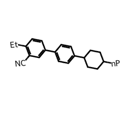 CCCC1CCC(c2ccc(-c3ccc(CC)c(C#N)c3)cc2)CC1